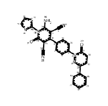 N#Cc1c(-c2ccc(-n3nc(-c4ccccc4)ccc3=O)cc2)c(C#N)c(=O)n(-c2nccs2)c1N